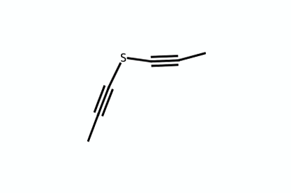 CC#CSC#CC